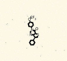 O=c1c2scc(-c3ccccc3)c2ncn1-c1ccc(OC(F)(F)F)cc1